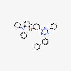 c1ccc(-c2cccc(-c3nc(-c4ccccc4)nc(-c4ccc5c(c4)oc4c5ccc5c6ccccc6n(-c6ccccc6)c54)n3)c2)cc1